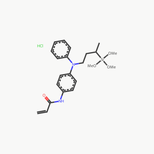 C=CC(=O)Nc1ccc(N(CCC(C)[Si](OC)(OC)OC)c2ccccc2)cc1.Cl